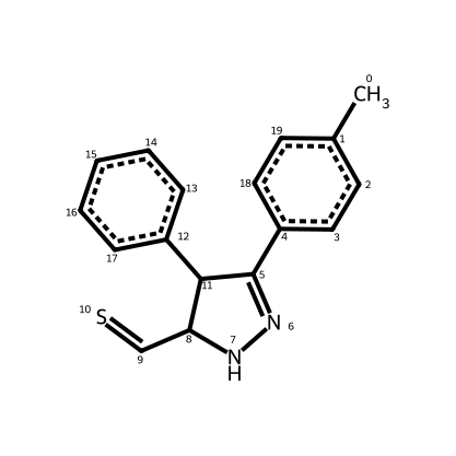 Cc1ccc(C2=NNC(C=S)C2c2ccccc2)cc1